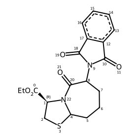 CCOC(=O)[C@@H]1CSC2CCCC(N3C(=O)c4ccccc4C3=O)C(=O)N21